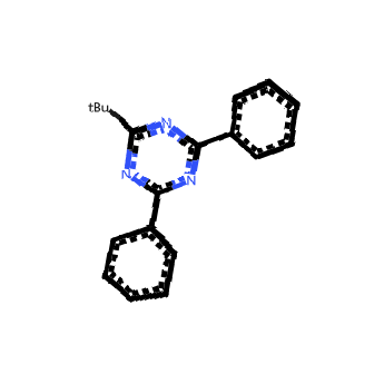 CC(C)(C)c1nc(-c2ccccc2)nc(-c2ccccc2)n1